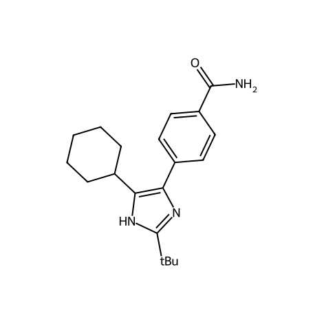 CC(C)(C)c1nc(-c2ccc(C(N)=O)cc2)c(C2CCCCC2)[nH]1